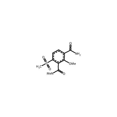 CNC(=O)c1c(S(C)(=O)=O)ccc(C(N)=O)c1OC